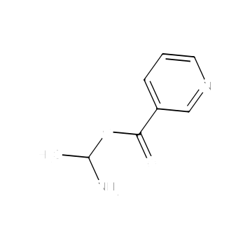 CC(N)OC(=O)c1cccnc1